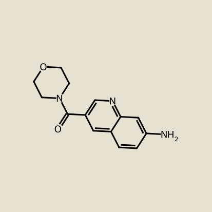 Nc1ccc2cc(C(=O)N3CCOCC3)cnc2c1